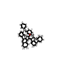 c1ccc(N(c2ccccc2)c2cccc3c4cc5ccccc5c5c6c7c8cccc9c%10ccccc%10n(c7ncc6n(c23)c45)c98)cc1